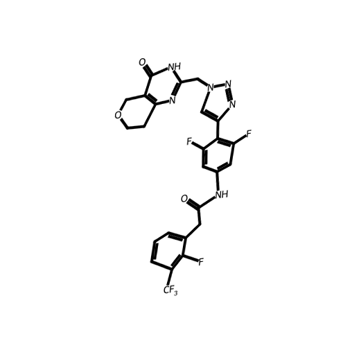 O=C(Cc1cccc(C(F)(F)F)c1F)Nc1cc(F)c(-c2cn(Cc3nc4c(c(=O)[nH]3)COCC4)nn2)c(F)c1